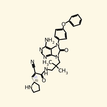 CC(C)(CNC(=O)/C(C#N)=C\[C@@H]1CCCN1)Cn1c(=O)n(-c2ccc(Oc3ccccc3)cc2)c2c(N)ncnc21